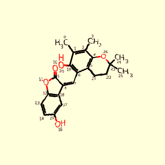 Cc1c(C)c2c(c(/C=C3\C(=O)Oc4ccc(O)cc43)c1O)CCC(C)(C)O2